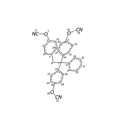 N#COc1ccc(CC(c2ccccc2)(c2ccc(OC#N)cc2)c2ccc(OC#N)cc2)cc1